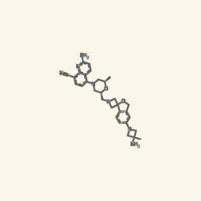 Bc1ccc2c(N3C[C@H](CN4CC5(C4)OCc4cc(N6CC(C)(N)C6)ccc45)O[C@H](C)C3)ccc(C#N)c2n1